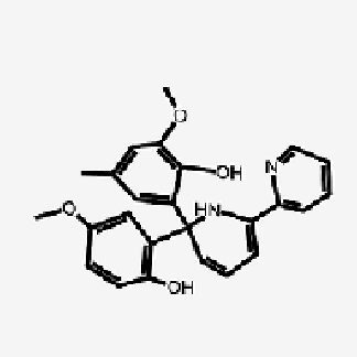 COc1ccc(O)c(C2(c3cc(C)cc(OC)c3O)C=CC=C(c3ccccn3)N2)c1